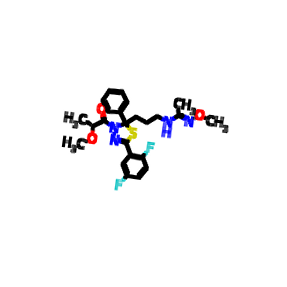 CO/N=C(\C)NCCCC1(c2ccccc2)SC(c2cc(F)ccc2F)=NN1C(=O)[C@H](C)OC